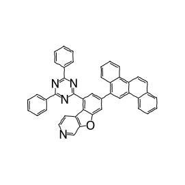 c1ccc(-c2nc(-c3ccccc3)nc(-c3cc(-c4cc5c6ccccc6ccc5c5ccccc45)cc4oc5cnccc5c34)n2)cc1